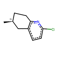 C[C@H]1CCc2nc(Cl)ccc2C1